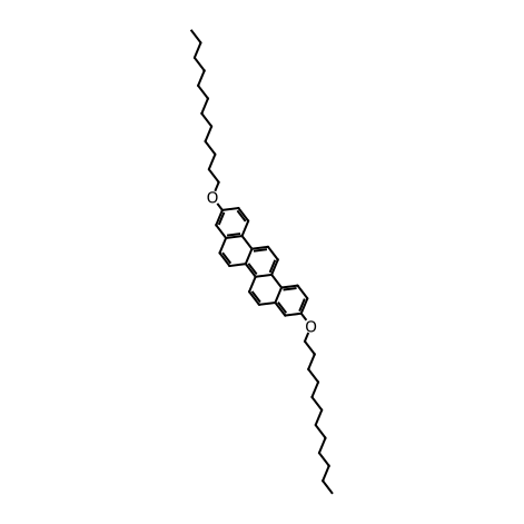 CCCCCCCCCCCCOc1ccc2c(ccc3c2ccc2c4ccc(OCCCCCCCCCCCC)cc4ccc23)c1